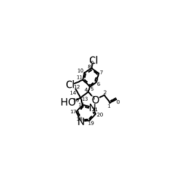 C=CCOC(c1ccc(Cl)cc1Cl)C(C)(O)c1cnccn1